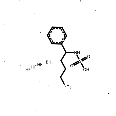 B.F.F.F.NCCCC(NS(=O)(=O)O)c1ccccc1